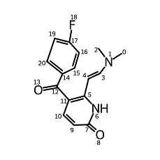 CN(C)/C=C/c1[nH]c(=O)ccc1C(=O)c1ccc(F)cc1